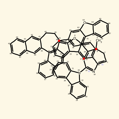 CC1C/C=C(c2ccc3oc4ccccc4c3c2)/N=C(n2c3ccccc3c3ccccc32)\N=C/1c1cc(C2CCc3cc4ccccc4cc3-c3c2ccc2ccccc32)cc2oc3ccccc3c12